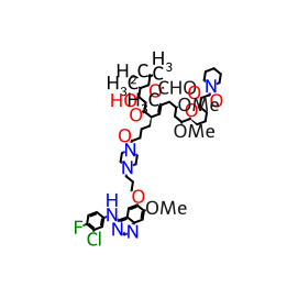 C=C(C)[C@@H](OC=O)[C@H](C)[C@@H](O)CC(=O)[C@@H](/C=C(\C)C[C@@H](C[C@H](OC)[C@@H]1CCCC(C(=O)C(=O)N2CCCCC2)O1)OC)CCCC(=O)N1CCN(CCCOc2cc3c(Nc4ccc(F)c(Cl)c4)ncnc3cc2OC)CC1